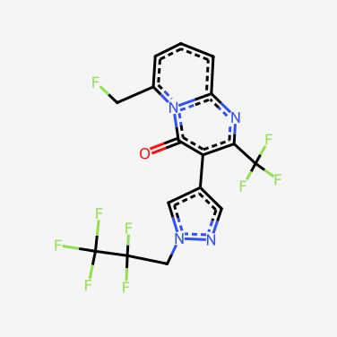 O=c1c(-c2cnn(CC(F)(F)C(F)(F)F)c2)c(C(F)(F)F)nc2cccc(CF)n12